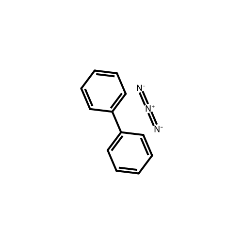 [N-]=[N+]=[N-].c1ccc(-c2ccccc2)cc1